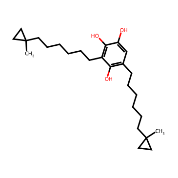 CC1(CCCCCCc2cc(O)c(O)c(CCCCCCC3(C)CC3)c2O)CC1